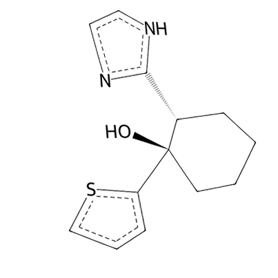 O[C@]1(c2cccs2)CCCC[C@H]1c1ncc[nH]1